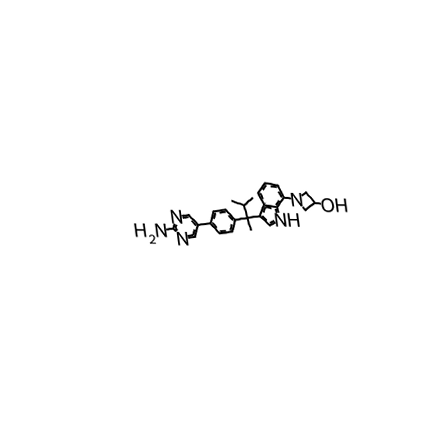 CC(C)C(C)(c1ccc(-c2cnc(N)nc2)cc1)c1c[nH]c2c(N3CC(O)C3)cccc12